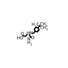 CC(C)(C)c1ccc(CN[C@@H](CCC(=O)O)C(N)=O)cc1